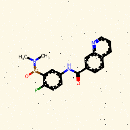 CN(C)[S+]([O-])c1cc(NC(=O)c2ccc3cccnc3c2)ccc1F